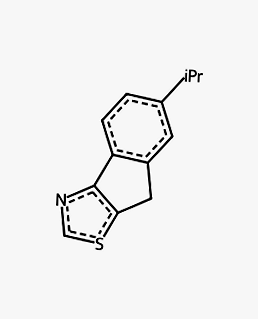 CC(C)c1ccc2c(c1)Cc1scnc1-2